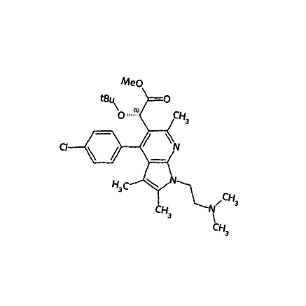 COC(=O)[C@@H](OC(C)(C)C)c1c(C)nc2c(c(C)c(C)n2CCN(C)C)c1-c1ccc(Cl)cc1